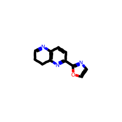 C1=Nc2ccc(-c3ncco3)nc2CC1